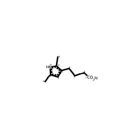 Cc1cc(CCCC(=O)O)c(C)[nH]1